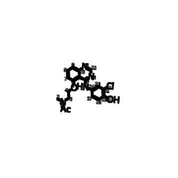 CC(=O)N(C)CCOc1cccc2ncnc(Nc3ccc(O)c(Cl)c3)c12